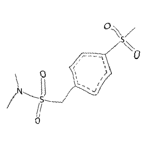 CN(C)S(=O)(=O)Cc1ccc(S(C)(=O)=O)cc1